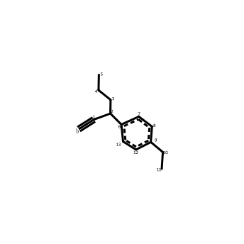 [C]#CC(CCC)c1ccc(CC)cc1